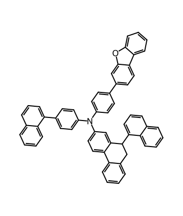 c1ccc2c(c1)CC(c1cccc3ccccc13)c1cc(N(c3ccc(-c4ccc5c(c4)oc4ccccc45)cc3)c3ccc(-c4cccc5ccccc45)cc3)ccc1-2